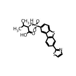 CC(C)[C@@H](NS(=O)(=O)c1ccc2sc3cc(-c4nccs4)ccc3c2c1)C(=O)O